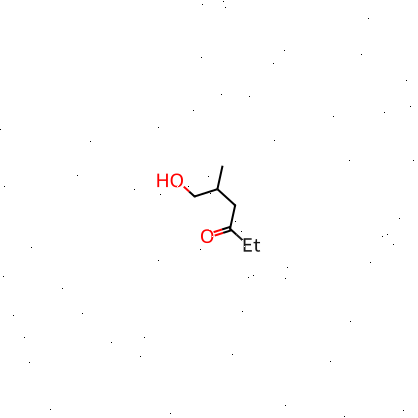 CCC(=O)CC(C)CO